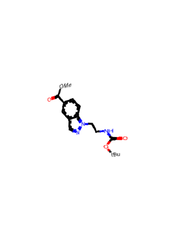 COC(=O)c1ccc2c(cnn2CCNC(=O)OC(C)(C)C)c1